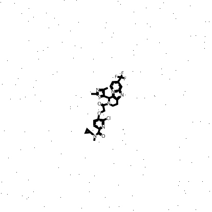 Cc1nc(C)c(C2c3c(nc4cc(C(F)(F)F)ccn34)CCN2C(=O)COc2ccc(C(=O)N(C)C3CC3)nc2Cl)s1